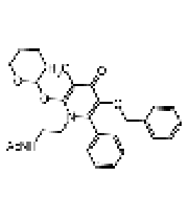 CC(=O)NCCn1c(OC2CCCCO2)c(C)c(=O)c(OCc2ccccc2)c1-c1ccccc1